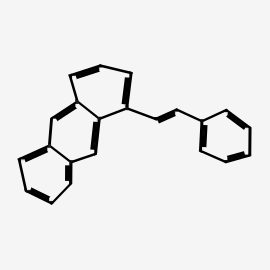 C(=Cc1cccc2cc3ccccc3cc12)c1ccccc1